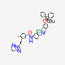 Cc1ccc(C(=O)Nc2ccc(CN3Cc4ccc(O[Si](c5ccccc5)(c5ccccc5)C(C)(C)C)cc4C3)c(Cl)c2)cc1C#Cc1cnc2cccnn12